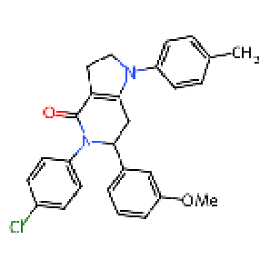 COc1cccc(C2CC3=C(CCN3c3ccc(C)cc3)C(=O)N2c2ccc(Cl)cc2)c1